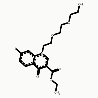 CCOC(=O)c1cn(CCOCCOCCO)c2cc(I)ccc2c1=O